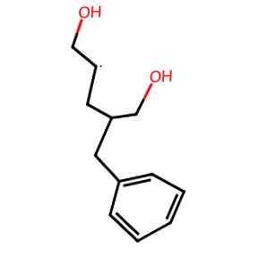 OC[CH]CC(CO)Cc1ccccc1